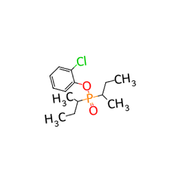 CCC(C)P(=O)(Oc1ccccc1Cl)C(C)CC